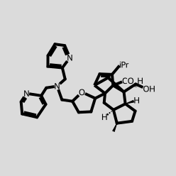 CC(C)C1=CC2CC3(CO)[C@@H]4CC[C@@H](C)[C@H]4CC2(C2CCC(CN(Cc4ccccn4)Cc4ccccn4)O2)C13C(=O)O